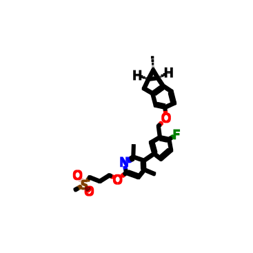 Cc1cc(OCCCS(C)(=O)=O)nc(C)c1-c1ccc(F)c(COc2ccc3c(c2)C[C@H]2[C@H](C)[C@@H]32)c1